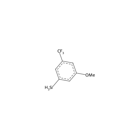 COc1cc([SiH3])cc(C(F)(F)F)c1